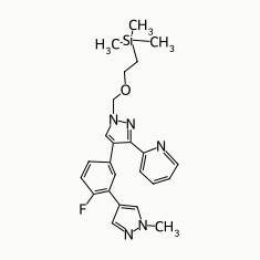 Cn1cc(-c2cc(-c3cn(COCC[Si](C)(C)C)nc3-c3ccccn3)ccc2F)cn1